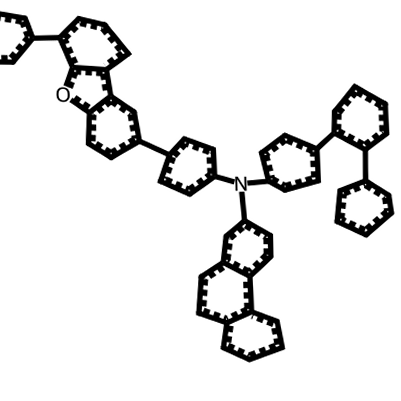 c1ccc(-c2ccccc2-c2ccc(N(c3ccc(-c4ccc5oc6c(-c7ccccc7)cccc6c5c4)cc3)c3ccc4c(ccc5ccccc54)c3)cc2)cc1